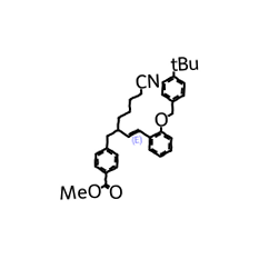 COC(=O)c1ccc(CC(/C=C/c2ccccc2OCc2ccc(C(C)(C)C)cc2)CCCCC#N)cc1